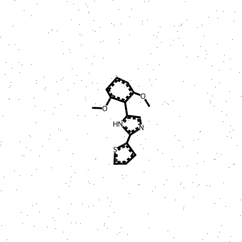 COc1cccc(OC)c1-c1cnc(-c2cccs2)[nH]1